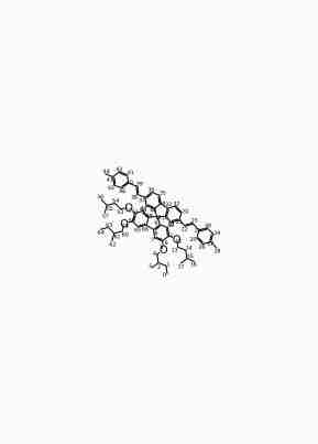 CCC(C)COc1cc2c(cc1OCCC(C)C)C1(c3cc(/C=C/c4ccc(C)cc4)ccc3-c3ccc(/C=C/c4ccc(C)cc4)cc31)c1cc(OCCC(C)C)c(OCC(C)CC)cc1-2